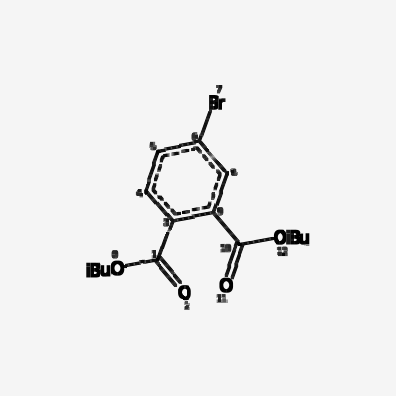 CC(C)COC(=O)c1ccc(Br)cc1C(=O)OCC(C)C